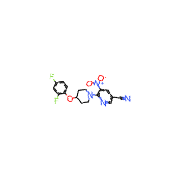 N#Cc1cnc(N2CCC(Oc3ccc(F)cc3F)CC2)c([N+](=O)[O-])c1